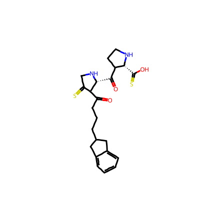 O=C(CCCC1Cc2ccccc2C1)C1C(=S)CN[C@@H]1C(=O)C1CCN[C@@H]1C(O)=S